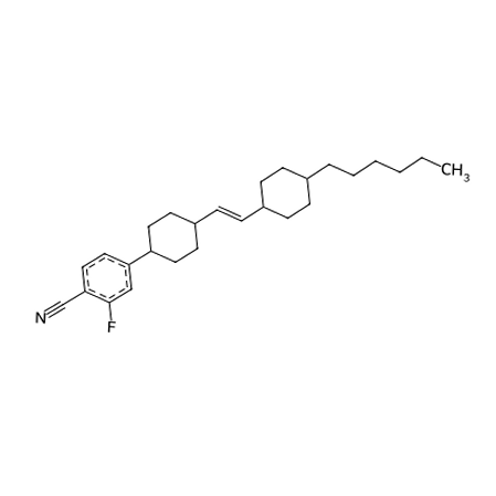 CCCCCCC1CCC(C=CC2CCC(c3ccc(C#N)c(F)c3)CC2)CC1